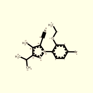 CCOc1cc(Br)ccc1-n1nc(C(C)C)c(N)c1C#N